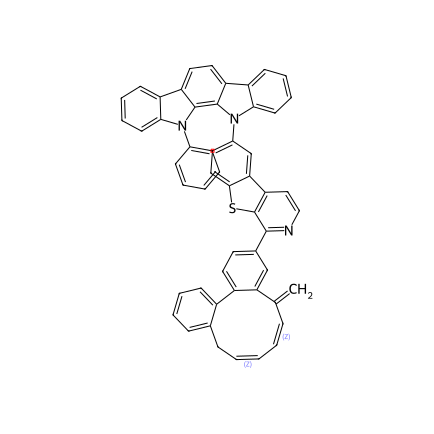 C=C1/C=C\C=C/Cc2ccccc2-c2ccc(-c3nccc4c3sc3ccc(-n5c6ccccc6c6ccc7c8ccccc8n(-c8ccccc8)c7c65)cc34)cc21